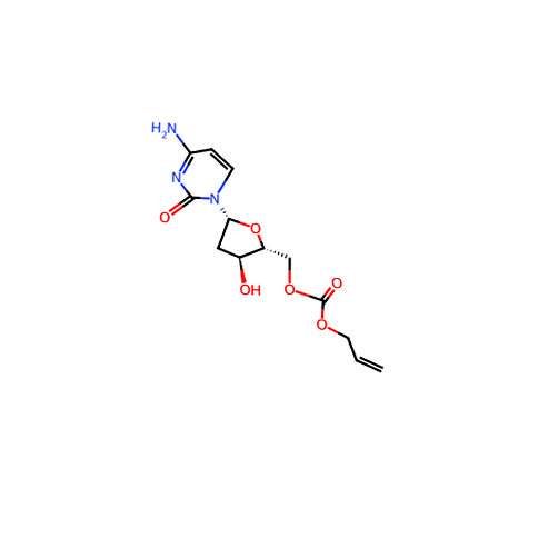 C=CCOC(=O)OC[C@H]1O[C@@H](n2ccc(N)nc2=O)C[C@@H]1O